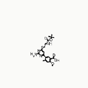 COc1cc(C)c(-c2cc(SCCNC(=O)OC(C)(C)C)nc(N)n2)cc1C(=O)O